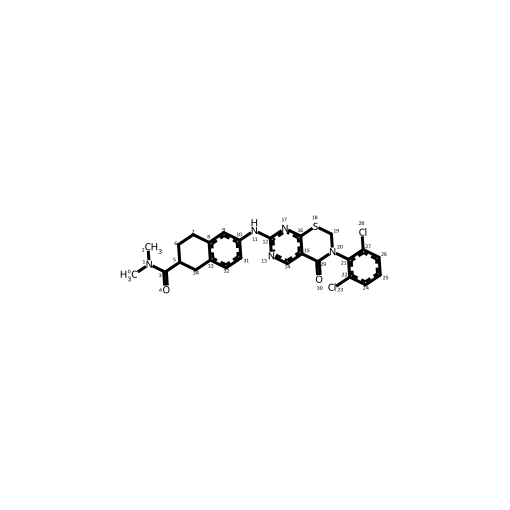 CN(C)C(=O)C1CCc2cc(Nc3ncc4c(n3)SCN(c3c(Cl)cccc3Cl)C4=O)ccc2C1